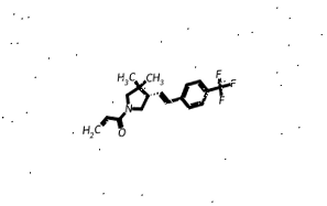 C=CC(=O)N1C[C@@H](C=Cc2ccc(C(F)(F)F)cc2)C(C)(C)C1